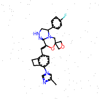 Cc1cn(-c2ccc(/C=C3\OC4(COC4)CN4C3=NNCC4c3ccc(F)cc3)c3c2CC3)cn1